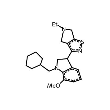 CCN1Cc2snc(C3CN(CC4CCCCC4)c4c(OC)cccc43)c2C1